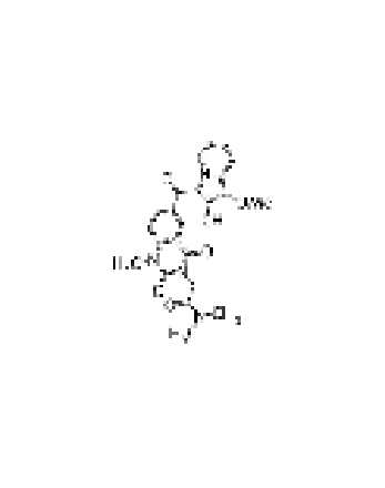 COc1c(C)c(C(=O)c2ccc3c(c2)c(=O)n(CC(=O)N(C)C)c(=O)n3C)n2ccccc12